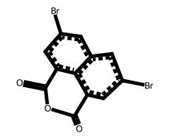 O=C1OC(=O)c2cc(Br)cc3cc(Br)cc1c23